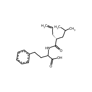 C=CC[C@H](CC(C)C)C(=O)NC(CCc1ccccc1)C(=O)O